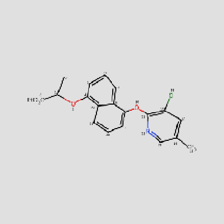 CCOC(=O)C(C)Oc1cccc2c(Oc3ncc(C(F)(F)F)cc3Cl)cccc12